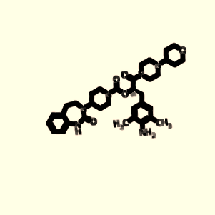 Cc1cc(C[C@@H](OC(=O)N2CCC(N3CCc4ccccc4NC3=O)CC2)C(=O)N2CCN(C3CCOCC3)CC2)cc(C)c1N